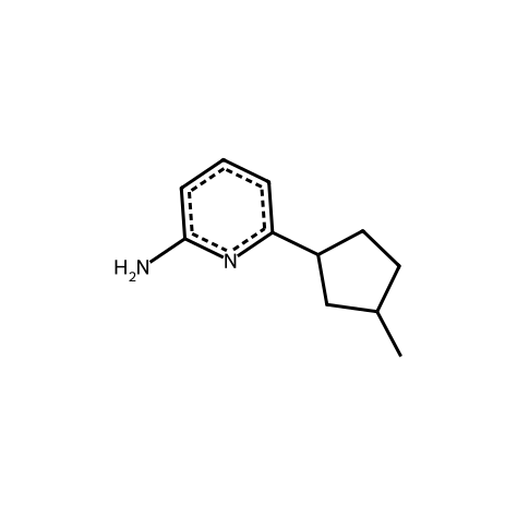 CC1CCC(c2cccc(N)n2)C1